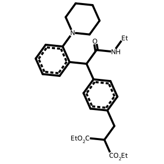 CCNC(=O)C(c1ccc(CC(C(=O)OCC)C(=O)OCC)cc1)c1ccccc1N1CCCCC1